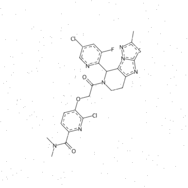 Cc1nn2c3c(nc2s1)CCN(C(=O)COc1ccc(C(=O)N(C)C)nc1Cl)C3c1ncc(Cl)cc1F